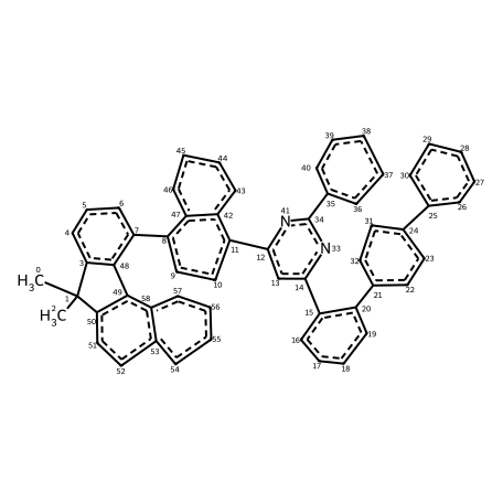 CC1(C)c2cccc(-c3ccc(-c4cc(-c5ccccc5-c5ccc(-c6ccccc6)cc5)nc(-c5ccccc5)n4)c4ccccc34)c2-c2c1ccc1ccccc21